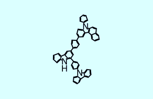 c1ccc(-n2c3ccc(-c4ccc(-c5cc(-c6ccc(-n7c8ccccc8c8ccccc87)cc6)c6[nH]c7ccccc7c6c5)cc4)cc3c3c4ccccc4ccc32)cc1